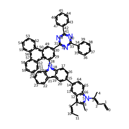 C=C/C=C(\C)n1c(C)c(/C=C\C)c2cc(-c3ccc4c(c3)c3ccccc3n4-c3cc(-c4nc(-c5ccccc5)nc(-c5ccccc5)n4)cc4c5ccccc5c5ccccc5c34)ccc21